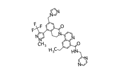 CCc1cc(C(=O)NCc2cnccn2)c2nccc(N3CCc4c(cc(Cn5ccnc5)cc4-c4cn(C)nc4C(F)(F)F)C3=O)c2c1